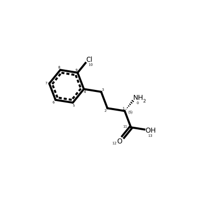 N[C@@H](CCc1ccccc1Cl)C(=O)O